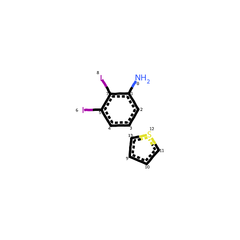 Nc1cccc(I)c1I.c1ccsc1